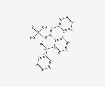 O=P(O)(O)[C@H](C=Cc1ccccc1)NC(c1ccccc1)c1ccccc1